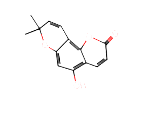 CC1(C)C=Cc2c(cc(O)c3ccc(=O)oc23)O1